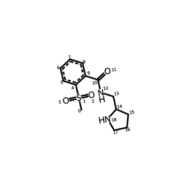 CS(=O)(=O)c1ccccc1C(=O)NCC1CCCN1